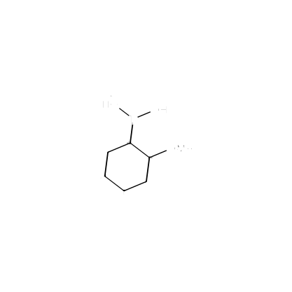 COC1CCCCC1B(O)O